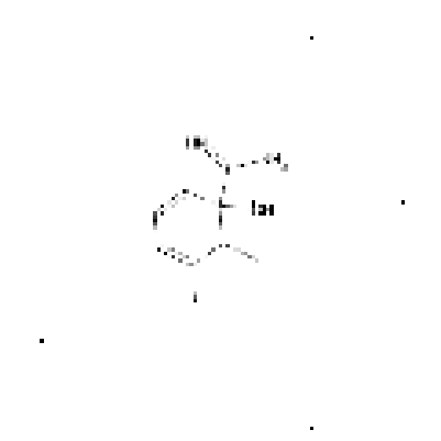 CC1=CC=CC(O)(C(=N)N)C1C